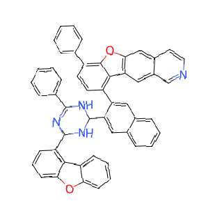 c1ccc(C2=NC(c3cccc4oc5ccccc5c34)NC(c3cc4ccccc4cc3-c3ccc(-c4ccccc4)c4oc5cc6ccncc6cc5c34)N2)cc1